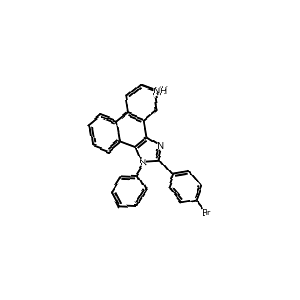 Brc1ccc(-c2nc3c4c(c5ccccc5c3n2-c2ccccc2)C=CNC4)cc1